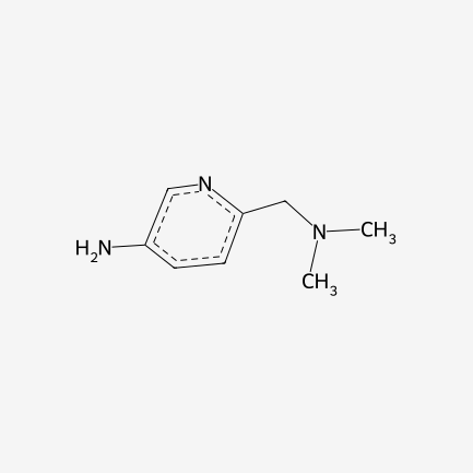 CN(C)Cc1ccc(N)cn1